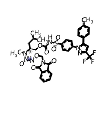 Cc1ccc(-c2cc(C(F)(F)F)nn2-c2ccc(S(=O)(=O)NC(=O)OC[C@H](CC(C)C)N(C)/[N+]([O-])=N\OCN3C(=O)c4ccccc4C3=O)cc2)cc1